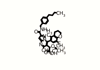 CCCCc1ccc(CNC(=O)c2cc3nc(C)c([C@H](OC(C)(C)C)C(=O)O)c(-c4cc(F)c5c(c4C)CCCO5)n3n2)cc1